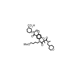 COCCCCN1C(=O)C(C)(C(=O)N(C)CC2CCOCC2)Oc2cc(Cl)c(C(=O)N(C(C)C)[C@@H]3CCCN(C(=O)O)C3)cc21